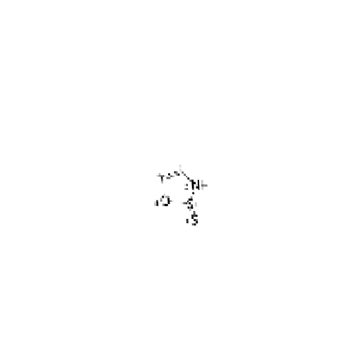 S=S1NC=CO1